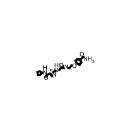 NC(=O)c1ccc(OCCNCC(O)COc2ncc(C(=O)NC3CCCC3)s2)cc1